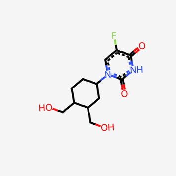 O=c1[nH]c(=O)n(C2CCC(CO)C(CO)C2)cc1F